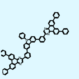 c1ccc(-c2ccc3c(c2)c2cc(-c4ccccc4)ccc2c2nc(-c4cccc(-c5ccc6c(c5)c5cc(-c7cccc(-c8cnc9c%10ccc(-c%11ccccc%11)cc%10c%10cc(-c%11ccccc%11)ccc%10c9n8)c7)ccc5n6-c5ccccc5)c4)cnc32)cc1